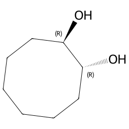 O[C@@H]1CCCCCC[C@H]1O